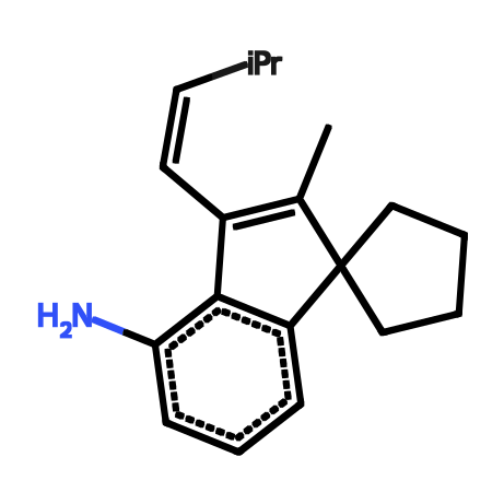 CC1=C(/C=C\C(C)C)c2c(N)cccc2C12CCCC2